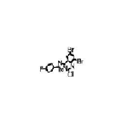 Fc1ccc(-c2nc3c4cc(Br)cc(Br)c4nc(Cl)n3n2)cc1